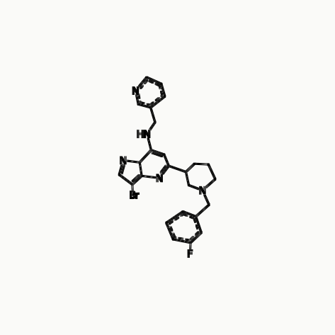 Fc1cccc(CN2CCCC(C3=NC4=C(Br)C=NC4C(NCc4cccnc4)=C3)C2)c1